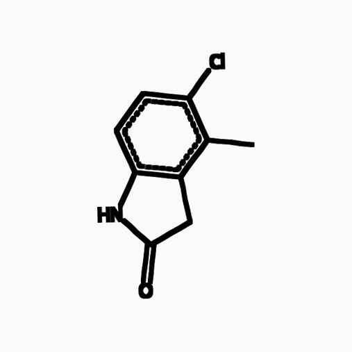 Cc1c(Cl)ccc2c1CC(=O)N2